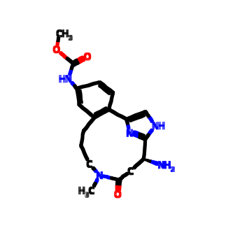 COC(=O)Nc1ccc2c(c1)CCCN(C)C(=O)C[C@H](N)c1nc-2c[nH]1